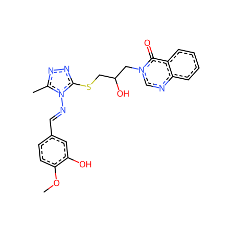 COc1ccc(C=Nn2c(C)nnc2SCC(O)Cn2cnc3ccccc3c2=O)cc1O